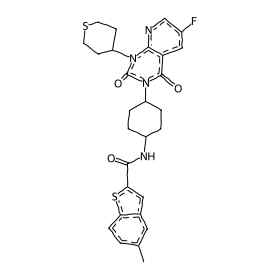 Cc1ccc2sc(C(=O)NC3CCC(n4c(=O)c5cc(F)cnc5n(C5CCSCC5)c4=O)CC3)cc2c1